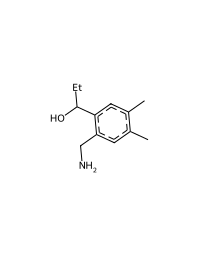 CCC(O)c1cc(C)c(C)cc1CN